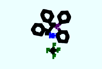 F[B-](F)(F)F.[NH3+][C@@H](c1ccccc1)[C@@H](c1ccccc1)P(c1ccccc1)c1ccccc1